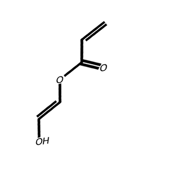 C=CC(=O)O/C=C/O